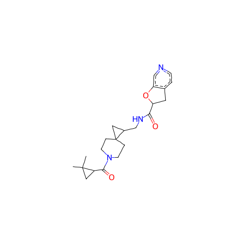 CC1(C)CC1C(=O)N1CCC2(CC1)CC2CNC(=O)C1Cc2ccncc2O1